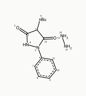 CCCCC1C(=O)NN(c2ccccc2)C1=O.NN